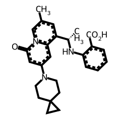 Cc1cc([C@H](C)Nc2ccccc2C(=O)O)c2cc(N3CCC4(CC3)CC4)cc(=O)n2c1